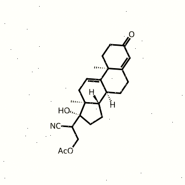 CC(=O)OCC(C#N)[C@]1(O)CC[C@H]2[C@@H]3CCC4=CC(=O)CC[C@]4(C)C3=CC[C@@]21C